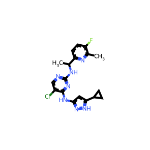 Cc1nc(C(C)Nc2ncc(Cl)c(Nc3cc(C4CC4)[nH]n3)n2)ccc1F